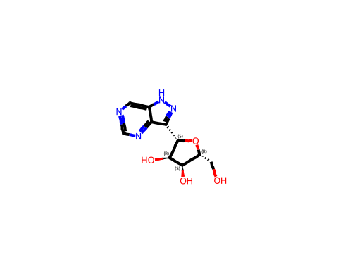 OC[C@H]1O[C@@H](c2n[nH]c3cncnc23)[C@H](O)[C@@H]1O